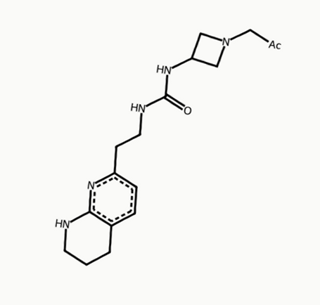 CC(=O)CN1CC(NC(=O)NCCc2ccc3c(n2)NCCC3)C1